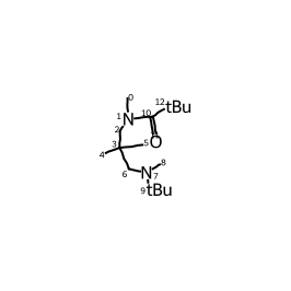 CN(CC(C)(C)CN(C)C(C)(C)C)C(=O)C(C)(C)C